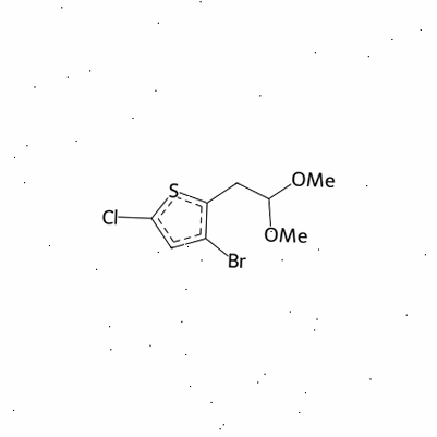 COC(Cc1sc(Cl)cc1Br)OC